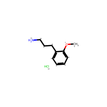 COc1ccccc1CCCN.Cl